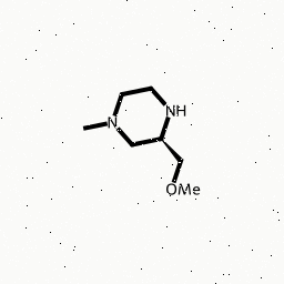 COC[C@H]1CN(C)CCN1